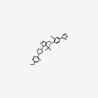 CCc1cnc(N2CCC(n3ncc(COc4ccc(-n5cnnn5)cc4F)c3C(F)(F)F)CC2)nc1